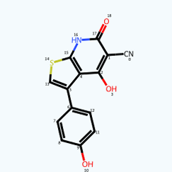 N#Cc1c(O)c2c(-c3ccc(O)cc3)csc2[nH]c1=O